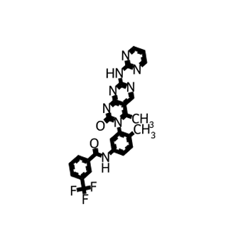 Cc1ccc(NC(=O)c2cccc(C(F)(F)F)c2)cc1-n1c(C)c2cnc(Nc3ncccn3)nc2nc1=O